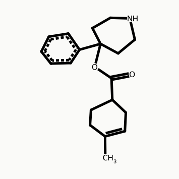 CC1=CCC(C(=O)OC2(c3ccccc3)CCNCC2)CC1